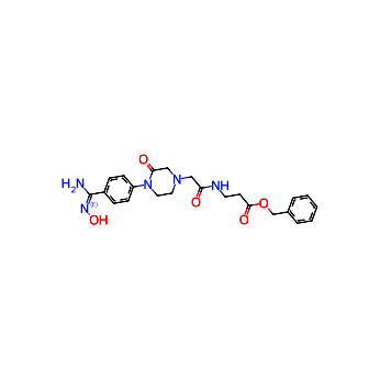 N/C(=N/O)c1ccc(N2CCN(CC(=O)NCCC(=O)OCc3ccccc3)CC2=O)cc1